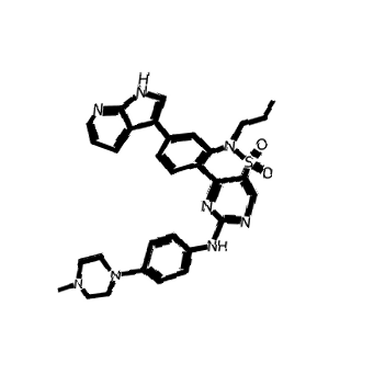 CCCN1c2cc(-c3c[nH]c4ncccc34)ccc2-c2nc(Nc3ccc(N4CCN(C)CC4)cc3)ncc2S1(=O)=O